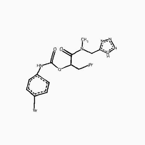 CC(C)CC(OC(=O)Nc1ccc(Br)cc1)C(=O)N(C)Cc1nnn[nH]1